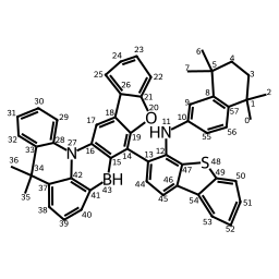 CC1(C)CCC(C)(C)c2cc(Nc3c(-c4c5c(cc6c4oc4ccccc46)N4c6ccccc6C(C)(C)c6cccc(c64)B5)ccc4c3sc3ccccc34)ccc21